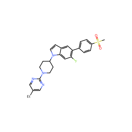 CCc1cnc(N2CCC(n3ccc4cc(-c5ccc(S(C)(=O)=O)cc5)c(F)cc43)CC2)nc1